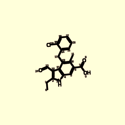 CCc1[nH]c2cc(C(=O)O)c(C)c(Cc3ccccc3Cl)c2c1C=O